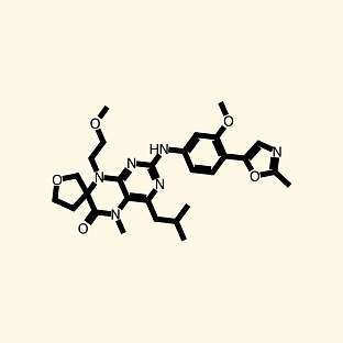 COCCN1c2nc(Nc3ccc(-c4cnc(C)o4)c(OC)c3)nc(CC(C)C)c2N(C)C(=O)C12CCOC2